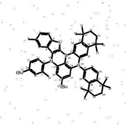 Cc1ccc2sc3c(c2c1)N(c1ccc(C(C)(C)C)cc1C)c1cc(C(C)(C)C)cc2c1B3c1cc3c(cc1N2c1ccc2c(c1)C(C)(C)CCC2(C)C)C(C)(C)CCC3(C)C